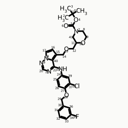 CC(C)(C)OC(=O)N1CCOC(COCc2ccn3ncnc(Nc4ccc(OCc5cccc(F)c5)c(Cl)c4)c23)C1